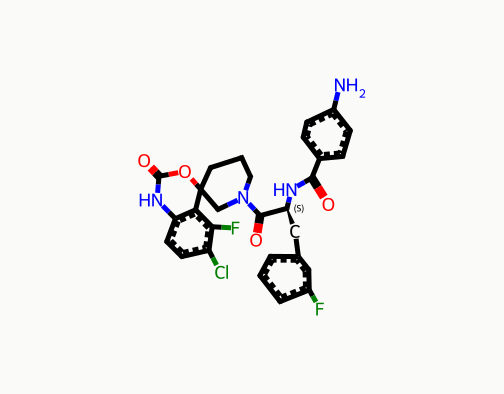 Nc1ccc(C(=O)N[C@@H](Cc2cccc(F)c2)C(=O)N2CCCC3(C2)OC(=O)Nc2ccc(Cl)c(F)c23)cc1